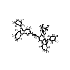 O=S(=O)(Oc1cc2c(cc1C#Cc1ccc3c(c1)c1ccccc1n3-c1ccccc1)c1ccccc1n2-c1ccccc1)C(F)(F)F